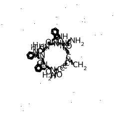 C=CCN1CC#CCN(NC(=O)CN)C(=O)N[C@H](Cc2c[nH]c3ccccc23)C(=O)N[C@@H](C)C(=O)N[C@@H](Cc2c[nH]c3ccccc23)C(=O)N[C@H](Cc2ccccc2)C(=O)N[C@H](C(N)=O)CCCC1